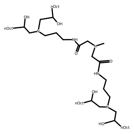 CCCCCCCCC(O)CN(CCCNC(=O)CN(C)CC(=O)NCCCN(CC(O)CCCCCCCC)CC(O)CCCCCCCC)CC(O)CCCCCCCC